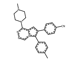 Cc1ccc(-c2c(-c3ccc(C#N)cc3)cc3c(N4CCN(C)CC4)nncn23)cc1